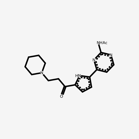 CC(=O)Nc1nccc(-c2ccc(C(=O)CCN3CCCCC3)[nH]2)n1